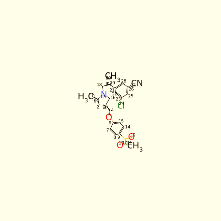 C[C@@H]1C[C@H](COc2ccc(S(C)(=O)=O)cc2)CN1C[C@H](C)c1cc(Cl)cc(C#N)c1